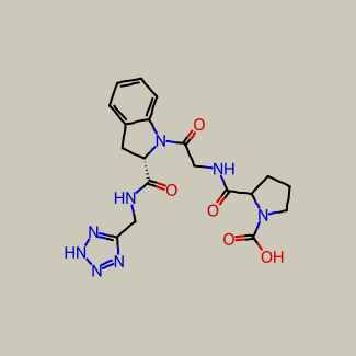 O=C(NCC(=O)N1c2ccccc2C[C@H]1C(=O)NCc1nn[nH]n1)C1CCCN1C(=O)O